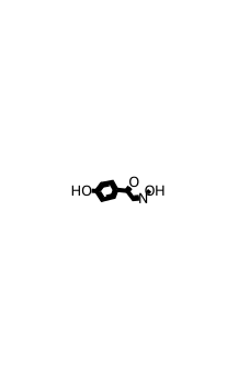 O=C(/C=N\O)c1ccc(O)cc1